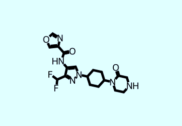 O=C(Nc1cn(C2CCC(N3CCNCC3=O)CC2)nc1C(F)F)c1cocn1